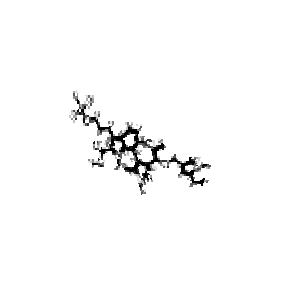 C=CC(OCc1cc(CI)n(C)n1)c1nn(C)c(C)c1-c1c(Cl)ccc2c(CCCOS(C)(=O)=O)c(C(=O)OC)n(C)c12